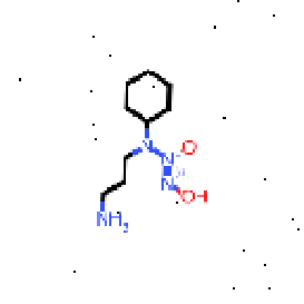 NCCCN(C1CCCCC1)/[N+]([O-])=N/O